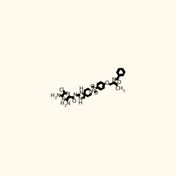 Cc1oc(-c2ccccc2)nc1COc1ccc(S(=O)(=O)N2CCC3(CC2)CN/C(=N\C(=O)c2nc(Cl)c(N)nc2N)N3)cc1